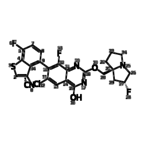 N#Cc1csc2c(F)ccc(-c3c(Cl)cc4c(O)nc(OC[C@@]56CCCN5C[C@H](F)C6)nc4c3F)c12